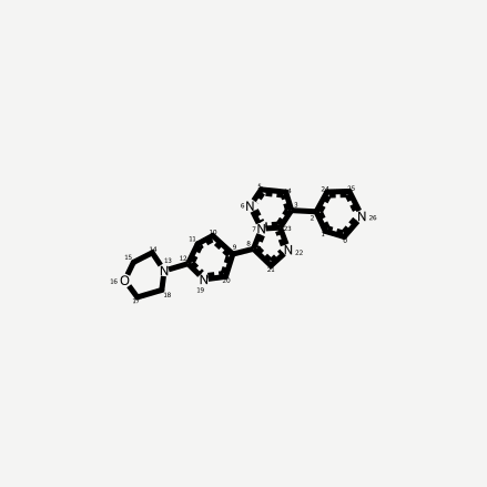 c1cc(-c2ccnn3c(-c4ccc(N5CCOCC5)nc4)cnc23)ccn1